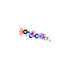 CS(=O)(=O)c1ccc(CN2CCCN(C3CCN(c4noc(C(F)(F)F)n4)CC3)C2=O)c(F)c1